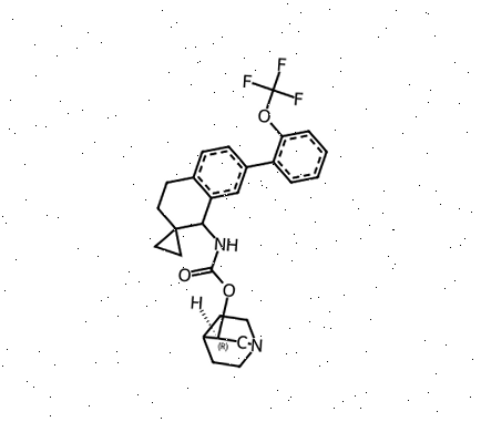 O=C(NC1c2cc(-c3ccccc3OC(F)(F)F)ccc2CCC12CC2)O[C@H]1CN2CCC1CC2